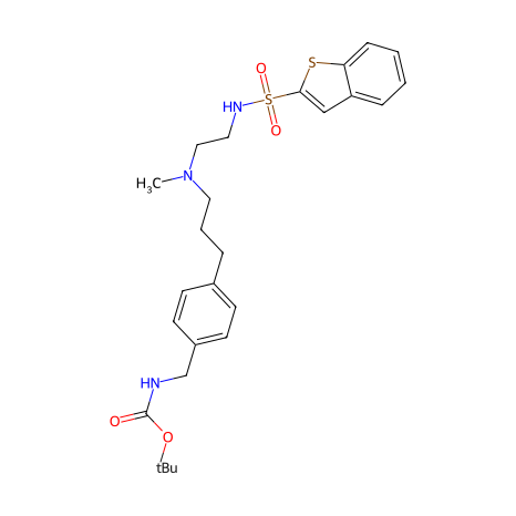 CN(CCCc1ccc(CNC(=O)OC(C)(C)C)cc1)CCNS(=O)(=O)c1cc2ccccc2s1